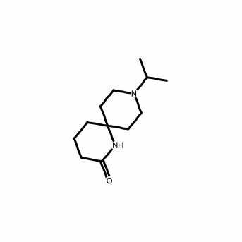 CC(C)N1CCC2(CCCC(=O)N2)CC1